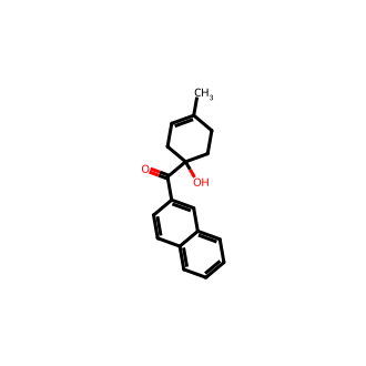 CC1=CCC(O)(C(=O)c2ccc3ccccc3c2)CC1